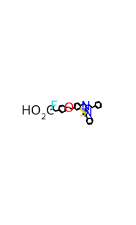 O=C(O)C(F)Cc1ccc(OCc2ccc(CN(CCc3ccccc3)c3nc(-c4ccccc4)cs3)cc2)cc1